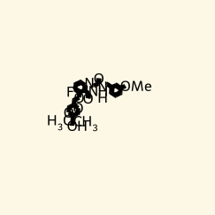 COc1cccc(CNC(=O)c2nc3ccc(F)c(OCC4COC(C(C)(C)O)CO4)c3c(=O)[nH]2)c1